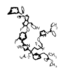 COC(=O)[C@@H](C)Cc1cccc(C(C)(CCC(F)(F)COc2ccn(C(C)=O)n2)c2c[nH]c(-c3cc(Oc4c(F)cc5c(ccn5S(=O)(=O)c5ccccc5)c4CO)ccc3F)n2)c1